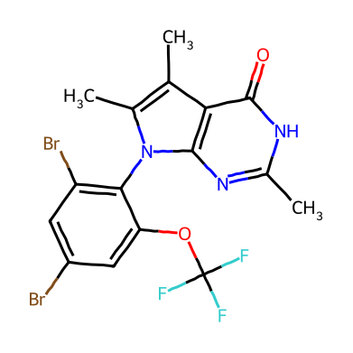 Cc1nc2c(c(C)c(C)n2-c2c(Br)cc(Br)cc2OC(F)(F)F)c(=O)[nH]1